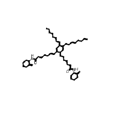 C=C1CCCC[C@@H]1NC(=O)CCCCCCC1CC(CCCCCCCC)C(CCCCCCCC)CC1CCCCCCC(=O)N[C@@H]1CCCCC1=C